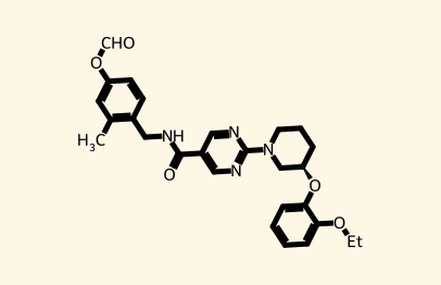 CCOc1ccccc1O[C@@H]1CCCN(c2ncc(C(=O)NCc3ccc(OC=O)cc3C)cn2)C1